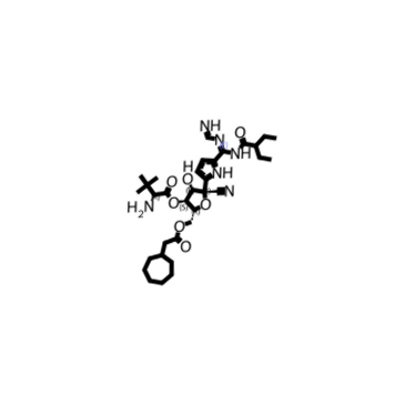 CCC(CC)C(=O)N/C(=N/C=N)c1ccc([C@]2(C#N)O[C@H](COC(=O)CC3CCCCCC3)[C@@H](OC(=O)[C@H](N)C(C)(C)C)[C@H]2O)[nH]1